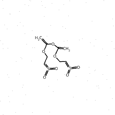 C=C(OCC=S(=O)=O)OC(=C)OCC=S(=O)=O